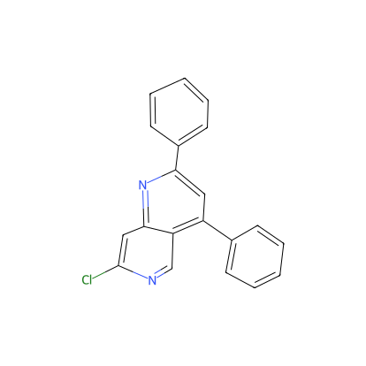 Clc1cc2nc(-c3ccccc3)cc(-c3ccccc3)c2cn1